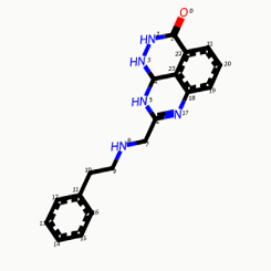 O=C1NNC2NC(CNCCc3ccccc3)=Nc3cccc1c32